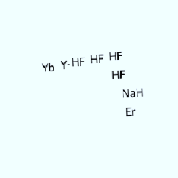 F.F.F.F.[Er].[NaH].[Y].[Yb]